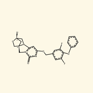 O=c1nc(OCc2cc(F)c(Oc3ccccc3)c(F)c2)cc2n1C[C@]13CO[C@H](CN21)C3